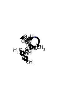 Cc1ccc(-c2ccc(C)cc2NC(=O)O[C@@H]2C[C@H]3C(=O)N[C@]4(C(=O)NS(=O)(=O)C5(C)CC5)C[C@H]4/C=C\CCCCN(C)C(=O)[C@@H]3C2)nc1